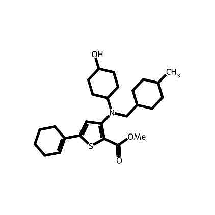 COC(=O)c1sc(C2=CCCCC2)cc1N(CC1CCC(C)CC1)C1CCC(O)CC1